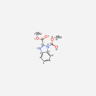 CC(C)(C)OC(=O)c1nc2ccccc2n1C(=O)OC(C)(C)C